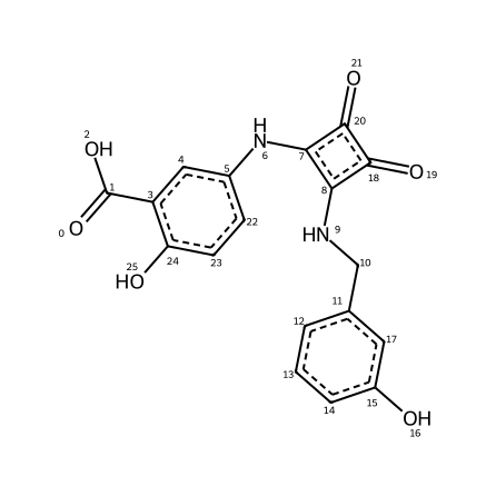 O=C(O)c1cc(Nc2c(NCc3cccc(O)c3)c(=O)c2=O)ccc1O